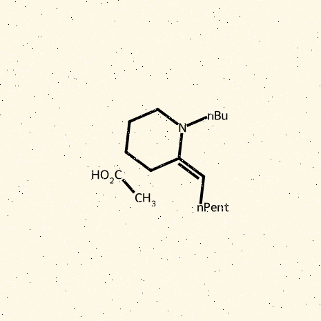 CC(=O)O.CCCCCC=C1CCCCN1CCCC